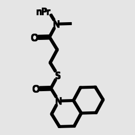 CCCN(C)C(=O)CCSC(=O)N1CCCC2CCCCC21